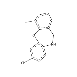 Cc1cccc2c1Oc1cc(Cl)ccc1NC2